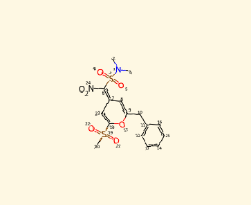 CN(C)S(=O)(=O)/C(=C1\C=C(Cc2ccccc2)OC(S(C)(=O)=O)=C1)[N+](=O)[O-]